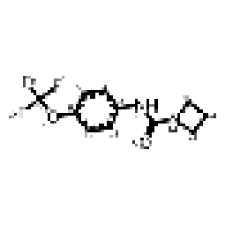 O=C(Nc1ccc(OC(F)(F)F)cc1)N1CCC1